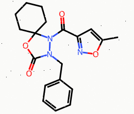 Cc1cc(C(=O)N2N(Cc3ccccc3)C(=O)OC23CCCCC3)no1